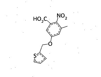 Cc1cc(OCc2cccs2)cc(C(=O)O)c1[N+](=O)[O-]